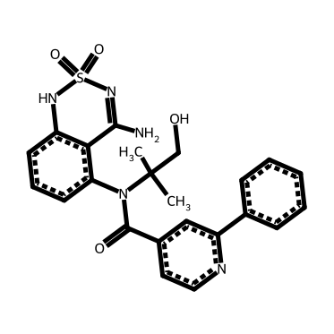 CC(C)(CO)N(C(=O)c1ccnc(-c2ccccc2)c1)c1cccc2c1C(N)=NS(=O)(=O)N2